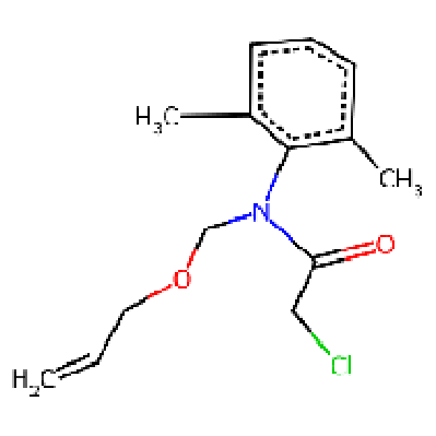 C=CCOCN(C(=O)CCl)c1c(C)cccc1C